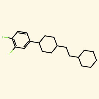 Fc1ccc(C2CCC(CCC3CCCCC3)CC2)cc1F